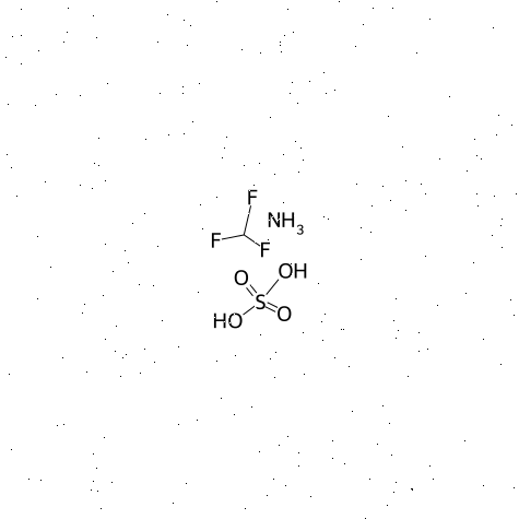 FC(F)F.N.O=S(=O)(O)O